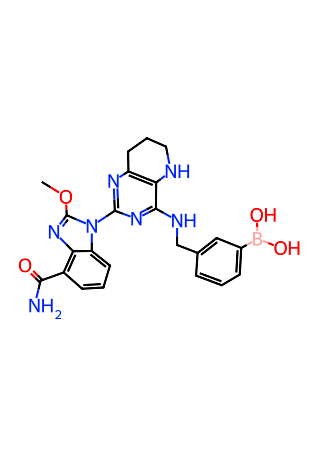 COc1nc2c(C(N)=O)cccc2n1-c1nc2c(c(NCc3cccc(B(O)O)c3)n1)NCCC2